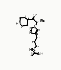 CCC(C)[C@@H](C(=O)C1CCNCC1)n1cc(CCCNC(C)=N)nn1